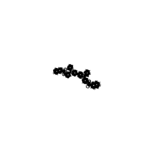 O=C(Oc1cccc(N(c2ccccc2)c2ccc(-c3ccc(N(c4ccccc4)c4cccc(OC(=O)c5ccc6ccccc6c5)c4)cc3)cc2)c1)c1ccc2ccccc2c1